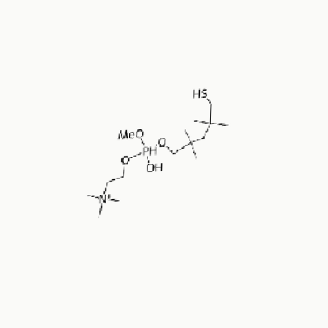 CO[PH](O)(OCC[N+](C)(C)C)OCC(C)(C)CC(C)(C)CS